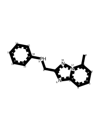 Cc1cccc2nc(CPc3ccccc3)nn12